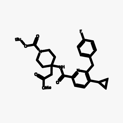 COC(=O)CC1(NC(=O)c2ccc(C3CC3)c(Cc3ccc(F)cc3)n2)CCN(C(=O)OC(C)(C)C)CC1